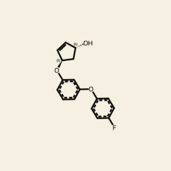 O[C@H]1C=C[C@H](Oc2cccc(Oc3ccc(F)cc3)c2)C1